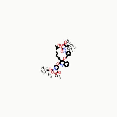 COC(=O)[C@@H]1C[C@@H](Oc2nc3ccccc3c(OCc3ccccc3)c2C#CCCC[C@@H]2C[C@H]2OC(=O)N[C@H](C(=O)O)C(C)(C)C)CN1C(=O)OC(C)(C)C